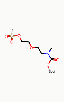 CN(CCOCCOS(C)(=O)=O)C(=O)OC(C)(C)C